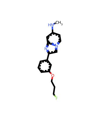 CNc1ccn2cc(-c3cccc(OCCCF)c3)nc2c1